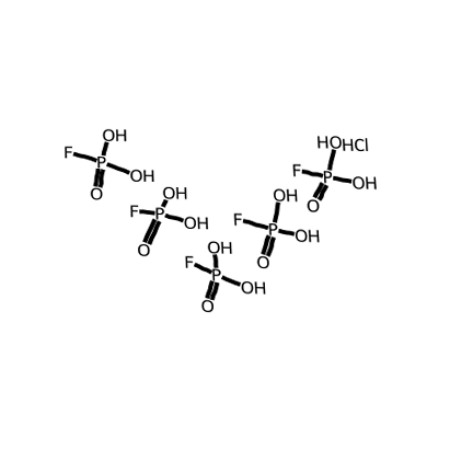 Cl.O=P(O)(O)F.O=P(O)(O)F.O=P(O)(O)F.O=P(O)(O)F.O=P(O)(O)F